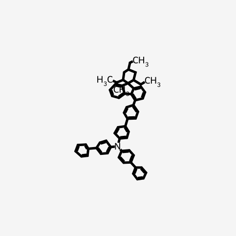 CCC1CC(CC)C2(c3ccccc3-c3c(-c4ccc(-c5ccc(N(c6ccc(-c7ccccc7)cc6)c6ccc(-c7ccccc7)cc6)cc5)cc4)cccc32)C(C(C)C)C1